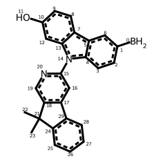 Bc1ccc2c(c1)c1ccc(O)cc1n2-c1cc2c(cn1)C(C)(C)c1ccccc1-2